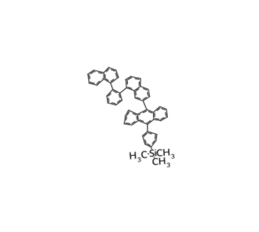 C[Si](C)(C)c1ccc(-c2c3ccccc3c(-c3ccc4cccc(-c5ccccc5-c5cccc6ccccc56)c4c3)c3ccccc23)cc1